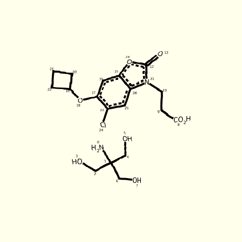 NC(CO)(CO)CO.O=C(O)CCn1c(=O)oc2cc(OC3CCC3)c(Cl)cc21